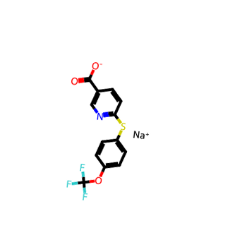 O=C([O-])c1ccc(Sc2ccc(OC(F)(F)F)cc2)nc1.[Na+]